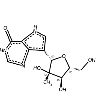 C[C@]1(O)[C@H](O)[C@@H](CO)O[C@H]1c1c[nH]c2c(=O)[nH]cnc12